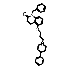 O=C1CCc2c(OCCCN3CCC(c4ccccc4)CC3)cccc2N1Cc1ccccc1